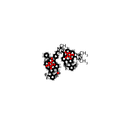 Cc1nc(C)nc(-c2ccc3c(c2)c2ccccc2n3-c2cccc(C#N)c2-c2cc(-c3c(C(F)(F)F)cccc3C(F)(F)F)ccc2-n2c3ccccc3c3cc(-c4nc(C)nc(Cc5ccc6c(c5)oc5c6ccc6c5c5ccccc5n6-c5ccc(-c6c(C(F)(F)F)cccc6C(F)(F)F)cc5-c5c(C#N)cccc5-n5c6ccccc6c6c7oc8ccccc8c7ccc65)n4)ccc32)n1